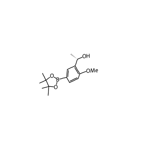 COc1ccc(B2OC(C)(C)C(C)(C)O2)cc1[C@H](C)O